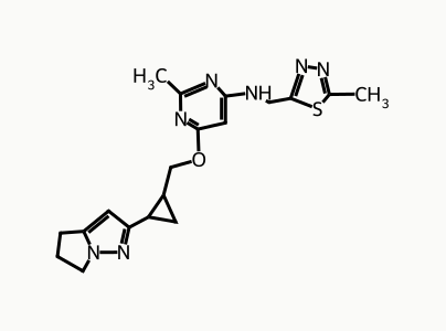 Cc1nc(NCc2nnc(C)s2)cc(OCC2CC2c2cc3n(n2)CCC3)n1